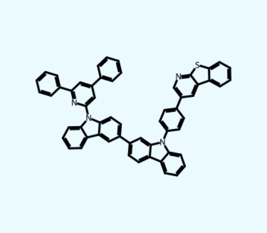 c1ccc(-c2cc(-c3ccccc3)nc(-n3c4ccccc4c4cc(-c5ccc6c7ccccc7n(-c7ccc(-c8cnc9sc%10ccccc%10c9c8)cc7)c6c5)ccc43)c2)cc1